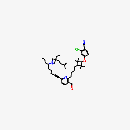 CCCC(CCCC#Cc1ccc(C=O)c(CCCCC2C(C)(C)C(Oc3ccc(C#N)c(Cl)c3)C2(C)C)n1)N1CC(CC)(CCC(C)C)C1